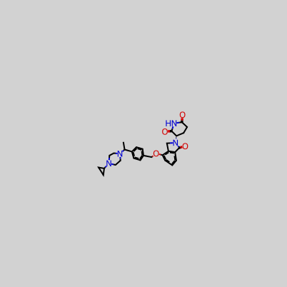 CC(c1ccc(COc2cccc3c2CN([C@H]2CCC(=O)NC2=O)C3=O)cc1)N1CCN(C2CC2)CC1